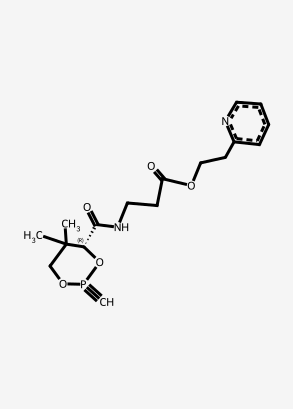 C#P1OCC(C)(C)[C@H](C(=O)NCCC(=O)OCCc2ccccn2)O1